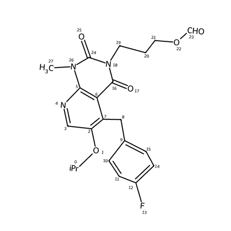 CC(C)Oc1cnc2c(c1Cc1ccc(F)cc1)c(=O)n(CCCOC=O)c(=O)n2C